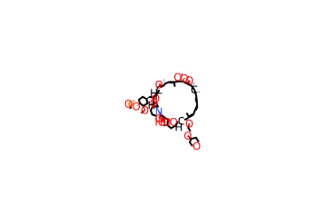 CO[C@@H]1/C(C)=C/[C@@H](C)C(=O)C[C@@H]2OC(=O)C3[C@H](CCCN3C(=O)C(=O)[C@]3(O)O[C@@H](CC[C@H]3C)C[C@H](OCCOC3CCOCC3)/C(C)=C/C=C/C=C/[C@@H](C)C[C@@H](C)C(=O)[C@@H]1OC)C2C[C@@H]1CC[C@@H](OP(C)(C)=O)[C@H](OC)C1